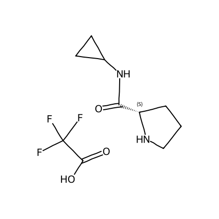 O=C(NC1CC1)[C@@H]1CCCN1.O=C(O)C(F)(F)F